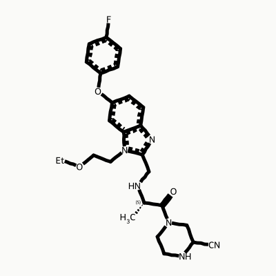 CCOCCn1c(CN[C@@H](C)C(=O)N2CCNC(C#N)C2)nc2ccc(Oc3ccc(F)cc3)cc21